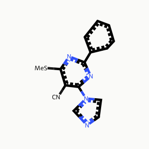 [C-]#[N+]c1c(SC)nc(-c2ccccc2)nc1-n1ccnc1